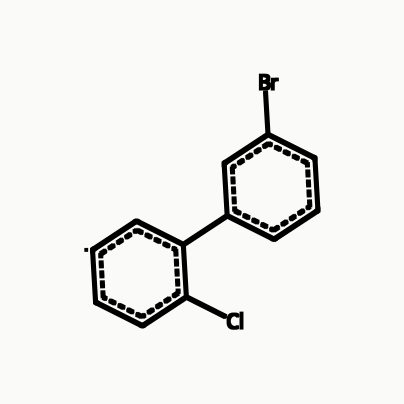 Clc1cc[c]cc1-c1cccc(Br)c1